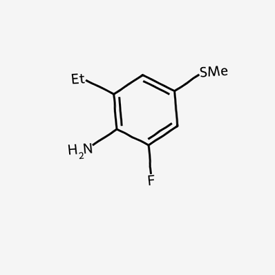 CCc1cc(SC)cc(F)c1N